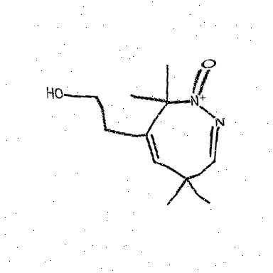 CC1(C)C=N[N+](=O)C(C)(C)C(CCO)=C1